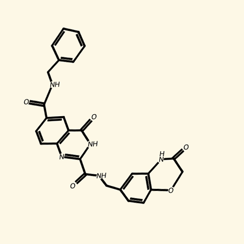 O=C1COc2ccc(CNC(=O)c3nc4ccc(C(=O)NCc5ccccc5)cc4c(=O)[nH]3)cc2N1